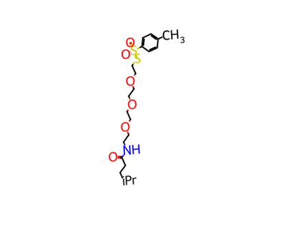 Cc1ccc(S(=O)(=O)SCCOCCOCCOCCNC(=O)CCC(C)C)cc1